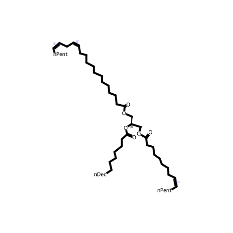 CCCCC/C=C\C/C=C\CCCCCCCCCCCC(=O)OC[C@@H](COC(=O)CCCCCCC/C=C\CCCCC)OC(=O)CCCCCCCCCCCCCCCC